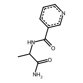 CC(NC(=O)c1cccnc1)C(N)=O